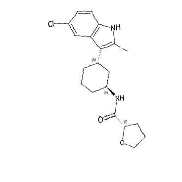 Cc1[nH]c2ccc(Cl)cc2c1[C@H]1CCC[C@H](NC(=O)[C@@H]2CCCO2)C1